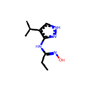 CCC(=NO)Nc1n[nH]cc1C(C)C